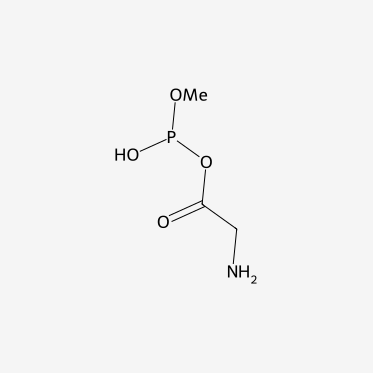 COP(O)OC(=O)CN